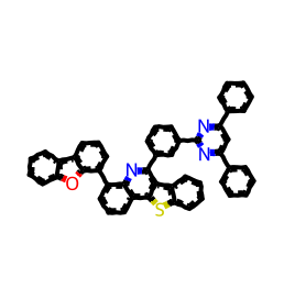 c1ccc(-c2cc(-c3ccccc3)nc(-c3cccc(-c4nc5c(-c6cccc7c6oc6ccccc67)cccc5c5sc6ccccc6c45)c3)n2)cc1